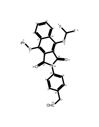 CC(C)Oc1c2c(c(OC(F)F)c3ccccc13)C(=O)N(c1ccc(CC=O)cc1)C2=O